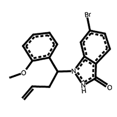 C=CCC(c1ccccc1OC)n1[nH]c(=O)c2ccc(Br)cc21